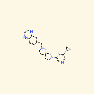 c1cnc2cc(CN3CCC4(CCN(c5cncc(C6CC6)n5)C4)C3)ccc2n1